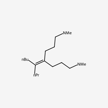 CCCCC(CCC)=C(CCCNC)CCCNC